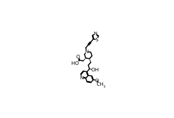 COc1ccc2nccc([C@H](O)CC[C@@H]3CCN(CC#Cc4cncs4)C[C@@H]3CC(=O)O)c2c1